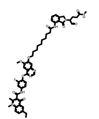 CCc1ccc2c(c1)c(=O)c(C(=O)Nc1ccc(Oc3ncnc4cc(OCCCCCCCCCC(=O)Nc5cccc6c5C(=O)N(C(C=O)CCC(=O)NC)C6)c(OC)cc34)c(F)c1)c(C)n2C